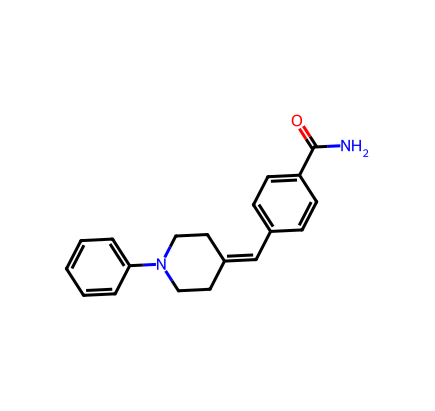 NC(=O)c1ccc(C=C2CCN(c3ccccc3)CC2)cc1